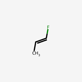 C/C=C/F